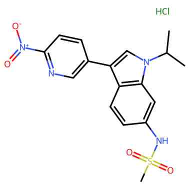 CC(C)n1cc(-c2ccc([N+](=O)[O-])nc2)c2ccc(NS(C)(=O)=O)cc21.Cl